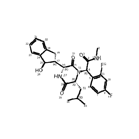 CNC(=O)[C@@H](c1ccc(F)cc1F)N1C(=O)[C@@H]([C@H]2Cc3ccccc3C2O)NC(=O)[C@H]1CC(C)C